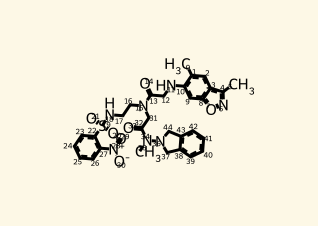 Cc1cc2c(C)noc2cc1NCC(=O)N(CCNS(=O)(=O)c1ccccc1[N+](=O)[O-])CC(=O)N(C)N1Cc2ccccc2C1